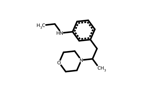 CCNc1cccc(CC(C)N2CCOCC2)c1